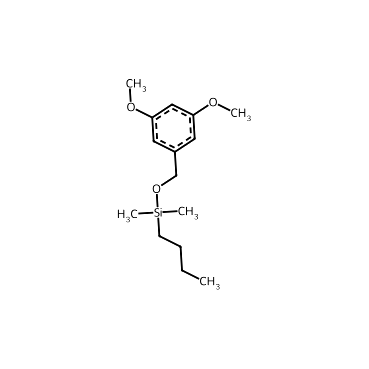 CCCC[Si](C)(C)OCc1cc(OC)cc(OC)c1